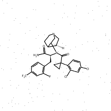 NC(=O)[C@H](Cc1ccc(C(F)(F)F)cc1F)N(C(=O)C1(c2ccc(Cl)cc2Cl)CC1)[C@@H]1CN2CCC1CC2